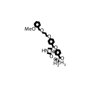 COc1ccccc1COCCCOc1ccc(C(Oc2ccc(C(=O)N(C)C)cc2)[C@H]2CNCC(=O)N2)cc1